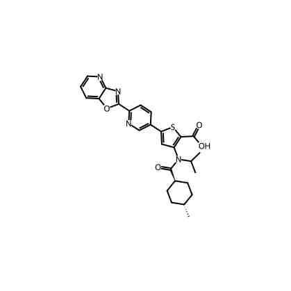 CC(C)N(c1cc(-c2ccc(-c3nc4ncccc4o3)nc2)sc1C(=O)O)C(=O)[C@H]1CC[C@H](C)CC1